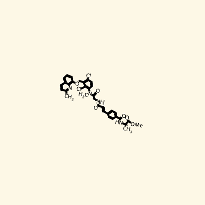 COC(=O)[C@@H](C)NC(=O)c1ccc(C=CC(=O)NCC(=O)N(C)c2ccc(Cl)c(COc3cccc4ccc(C)nc34)c2Cl)cc1